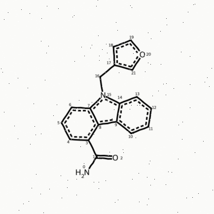 NC(=O)c1cccc2c1c1[c]cccc1n2Cc1ccoc1